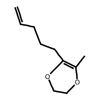 C=CCCCC1=C(C)OCCO1